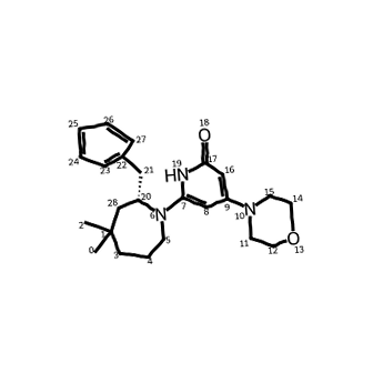 CC1(C)CCCN(c2cc(N3CCOCC3)cc(=O)[nH]2)[C@@H](Cc2ccccc2)C1